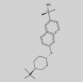 [CH2][C@](C)(N)c1ccc2cc(O[C@H]3CC[C@H](C(C)(C)C)CC3)ccc2c1